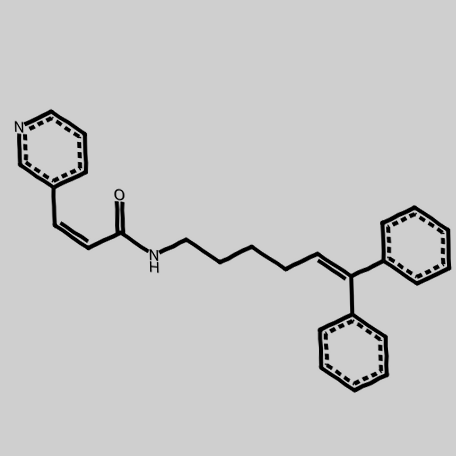 O=C(/C=C\c1cccnc1)NCCCCC=C(c1ccccc1)c1ccccc1